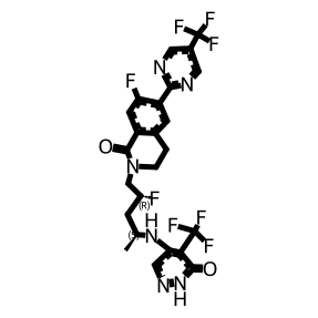 C[C@@H](C[C@@H](F)CN1CCc2cc(-c3ncc(C(F)(F)F)cn3)c(F)cc2C1=O)Nc1cn[nH]c(=O)c1C(F)(F)F